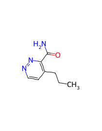 CCCc1ccnnc1C(N)=O